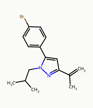 C=C(C)c1cc(-c2ccc(Br)cc2)n(CC(C)C)n1